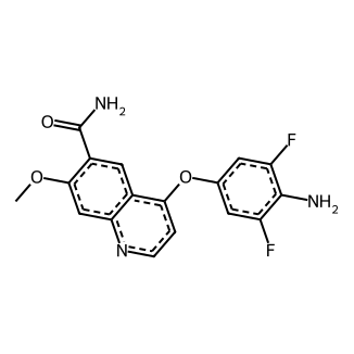 COc1cc2nccc(Oc3cc(F)c(N)c(F)c3)c2cc1C(N)=O